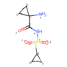 NC1(C(=O)NS(=O)(=O)C2CC2)CC1